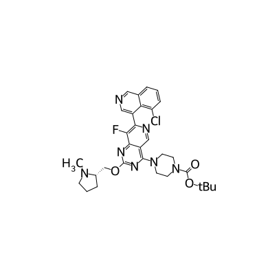 CN1CCC[C@H]1COc1nc(N2CCN(C(=O)OC(C)(C)C)CC2)c2cnc(-c3cncc4cccc(Cl)c34)c(F)c2n1